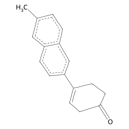 Cc1ccc2cc(C3=CCC(=O)CC3)ccc2c1